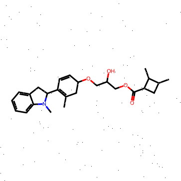 CC1=C(C2Cc3ccccc3N2C)C=CC(OCC(O)COC(=O)C2CC(C)C2C)C1